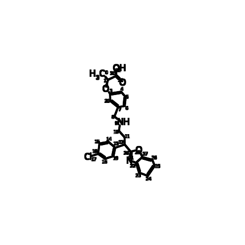 CC(Oc1cccc(CNCCC(c2ccc(Cl)cc2)c2nc3ccccc3o2)c1)C(=O)O